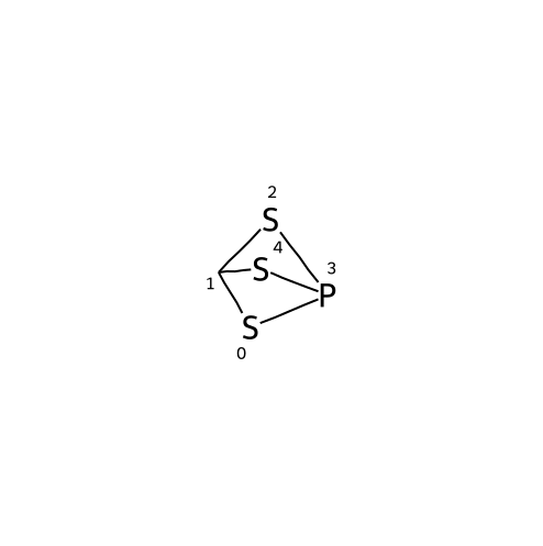 S1C2SP1S2